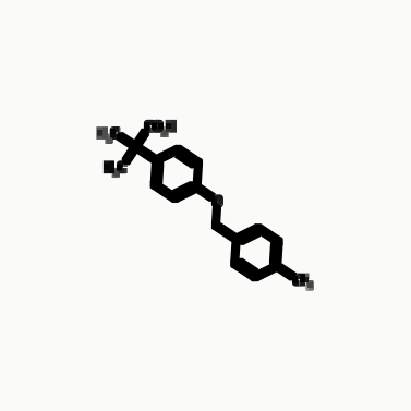 CC(C)(C(=O)O)c1ccc(OCc2ccc(C(F)(F)F)cc2)cc1